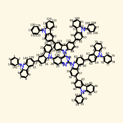 c1ccc(-n2c3ccccc3c3cc(-c4ccc5c(c4)c4ccccc4n5-c4ccc5nc(-n6c7ccc(-c8ccc9c(c8)c8ccccc8n9-c8ccccc8)cc7c7cc(-c8ccc9c(c8)c8ccccc8n9-c8ccccc8)ccc76)nc(-n6c7ccc(-c8ccc9c(c8)c8ccccc8n9-c8ccccc8)cc7c7cc(-c8ccc9c(c8)c8ccccc8n9-c8ccccc8)ccc76)c5c4)ccc32)cc1